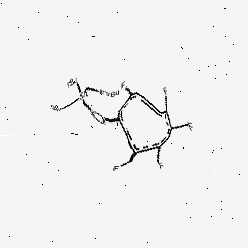 CCC[CH2][Sn]([CH2]CCC)([CH2]CCC)[O]c1c(F)c(F)c(F)c(F)c1F